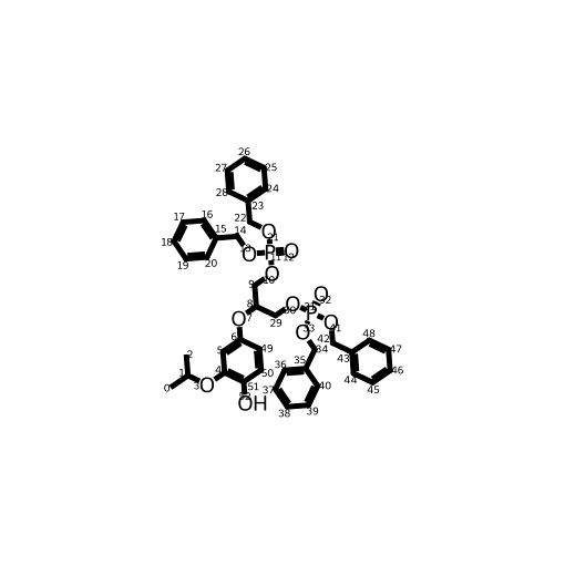 CC(C)Oc1cc(OC(COP(=O)(OCc2ccccc2)OCc2ccccc2)COP(=O)(OCc2ccccc2)OCc2ccccc2)ccc1O